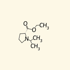 CCOC(=O)[C@H]1CCCN1C(C)C